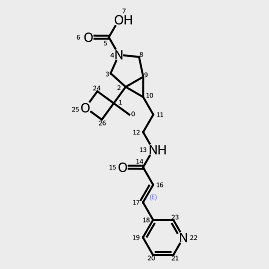 CC1(C23CN(C(=O)O)CC2C3CCNC(=O)/C=C/c2cccnc2)COC1